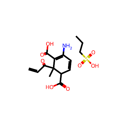 C=CC(=O)C1(C)C(C(=O)O)=C(N)C=CC1C(=O)O.CCCS(=O)(=O)O